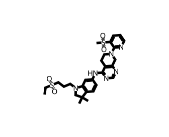 CCS(=O)(=O)CCCN1CC(C)(C)c2ccc(Nc3ncnc4c3CCN(c3ncccc3S(C)(=O)=O)C4)cc21